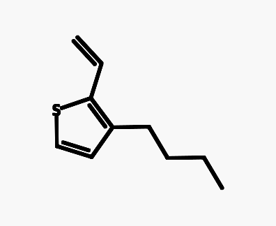 C=Cc1sccc1CCCC